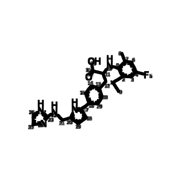 CCc1cc(F)cc(C)c1NC(Cc1ccc(-c2ccc(CNc3ncc[nH]3)[nH]2)cc1)C(=O)O